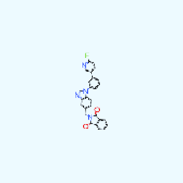 O=C1c2ccccc2C(=O)N1Cc1ccc2c(c1)ncn2-c1cccc(-c2ccc(F)nc2)c1